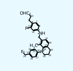 Cc1c(CNc2ccc(CCC=O)c(F)c2)ccc2c1N(c1ccc(CF)cc1)CCC2